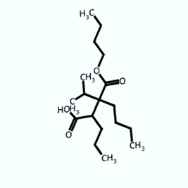 CCCCOC(=O)C(CCCC)(C(C)C)C(CCC)C(=O)O